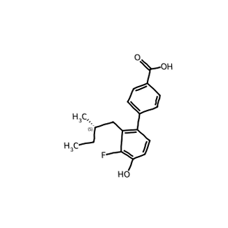 CC[C@H](C)Cc1c(-c2ccc(C(=O)O)cc2)ccc(O)c1F